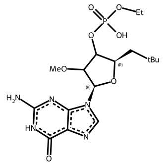 CCOP(=O)(O)OC1C(OC)[C@H](n2cnc3c(=O)[nH]c(N)nc32)O[C@@H]1CC(C)(C)C